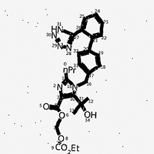 CCCc1nc(C(=O)OCOC(=O)OCC)c(C(C)(C)O)n1Cc1ccc(-c2ccccc2-c2nnn[nH]2)cc1